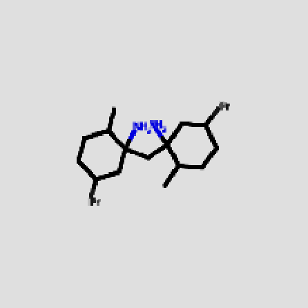 CC(C)C1CCC(C)C(N)(CC2(N)CC(C(C)C)CCC2C)C1